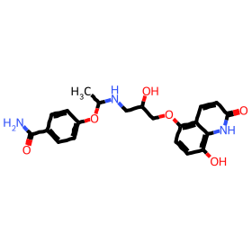 CC(NCC(O)COc1ccc(O)c2[nH]c(=O)ccc12)Oc1ccc(C(N)=O)cc1